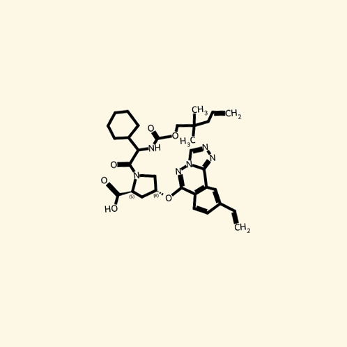 C=CCC(C)(C)COC(=O)NC(C(=O)N1C[C@H](Oc2nn3cnnc3c3cc(C=C)ccc23)C[C@H]1C(=O)O)C1CCCCC1